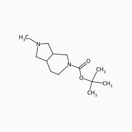 CN1CC2CCN(C(=O)OC(C)(C)C)CC2C1